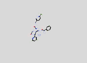 O=C1Cn2c(C(=O)NCc3ccc(C(F)(F)F)nc3)nc(NC(=O)c3nsc4ccc(F)cc34)c2[C@]2(CNc3c(F)cc(F)cc32)N1